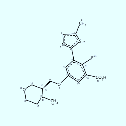 Cc1cnc(-c2cc(OC[C@@H]3COCCN3C)cc(C(=O)O)c2F)s1